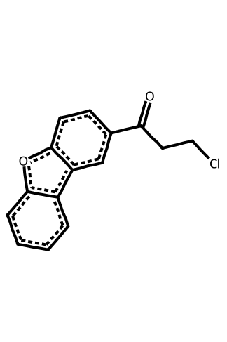 O=C(CCCl)c1ccc2oc3ccccc3c2c1